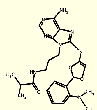 CC(C)C(=O)NCCCn1c(SC2=COC(c3ccccc3N(C)C)O2)nc2c(N)ncnc21